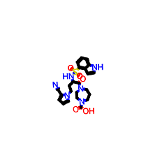 N#Cc1cccn1CCC(NS(=O)(=O)c1cccc2[nH]ccc12)C(=O)N1CCCN(C(=O)O)CC1